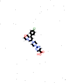 O=C(O)c1cnc(N2CCN(C(/C=C/c3ccc(Cl)cc3)CN3CCOCC3)CC2)nc1